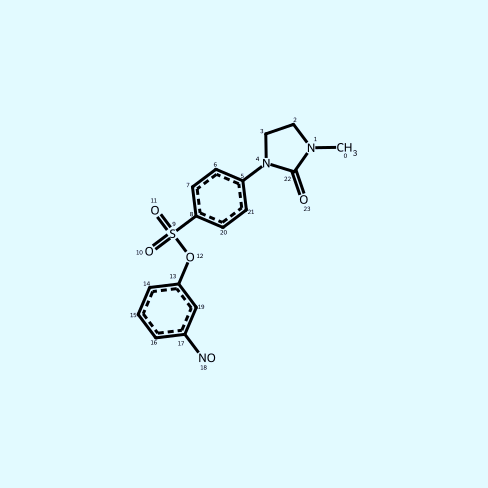 CN1CCN(c2ccc(S(=O)(=O)Oc3cccc(N=O)c3)cc2)C1=O